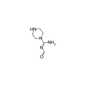 N/C(=N\C=O)N1CCNCC1